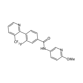 COc1ccc(NC(=O)c2ccc(-c3ncccc3C(F)(F)F)c(F)c2)cn1